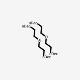 CCCCCCCCCCCCOCCCCCCCCCCCC.CCCCCCCCCCC[CH2][Al][CH2]CCCCCCCCCCC